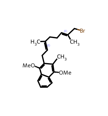 COc1c(C)c(C/C=C(\C)CC/C=C(\C)CBr)c(OC)c2ccccc12